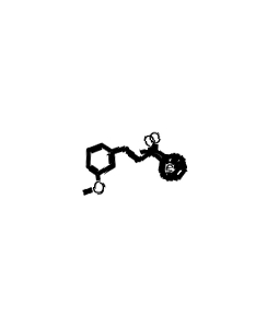 COc1cccc(C=CC(=O)[C]23[CH]4[CH]5[CH]6[CH]2[Fe]56432789[CH]3[CH]2[CH]7[C]8(C(C)=O)[CH]39)c1